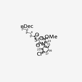 CCCCCCCCCCCCCCCC(=O)SCC(=O)N(c1c(C)ccc(Cl)c1C)[C@@H](C)C(=O)OC